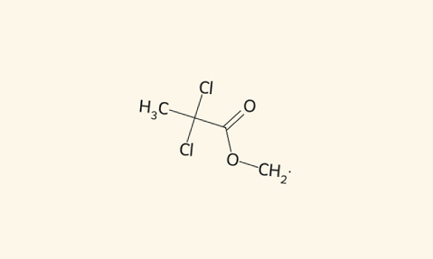 [CH2]OC(=O)C(C)(Cl)Cl